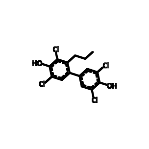 CCCc1c(-c2cc(Cl)c(O)c(Cl)c2)cc(Cl)c(O)c1Cl